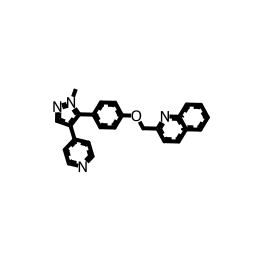 Cn1ncc(-c2ccncc2)c1-c1ccc(OCc2ccc3ccccc3n2)cc1